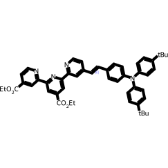 CCOC(=O)c1ccnc(-c2cc(C(=O)OCC)cc(-c3cc(/C=C/c4ccc(N(c5ccc(C(C)(C)C)cc5)c5ccc(C(C)(C)C)cc5)cc4)ccn3)n2)c1